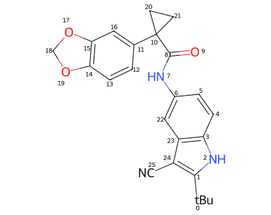 CC(C)(C)c1[nH]c2ccc(NC(=O)C3(c4ccc5c(c4)OCO5)CC3)cc2c1C#N